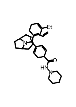 C=CCN1CCC2CCC(C1)N2C(C1=CCC(C(=O)NN2CCCCC2)C=C1)C1=CC(CC)=CCC1